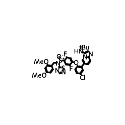 COc1ccc(CN(c2ncns2)[S+]([O-])C2C=C(F)C(Oc3ccc(Cl)cc3-c3ccc4ncc(NC(C)(C)C)n4c3)=CC2F)c(OC)c1